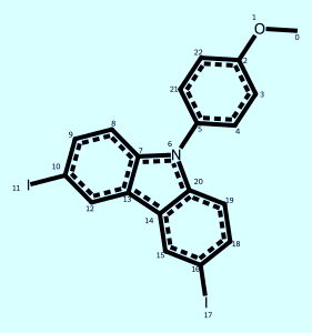 COc1ccc(-n2c3ccc(I)cc3c3cc(I)ccc32)cc1